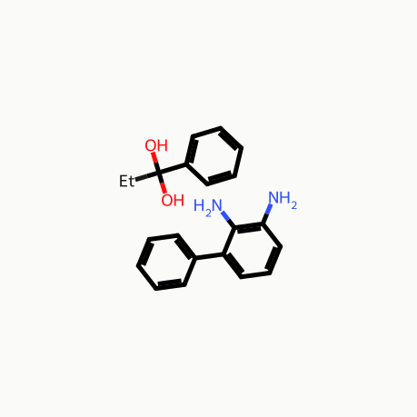 CCC(O)(O)c1ccccc1.Nc1cccc(-c2ccccc2)c1N